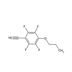 C#Cc1c(F)c(F)c(OCCC)c(F)c1F